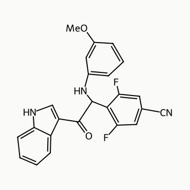 COc1cccc(NC(C(=O)c2c[nH]c3ccccc23)c2c(F)cc(C#N)cc2F)c1